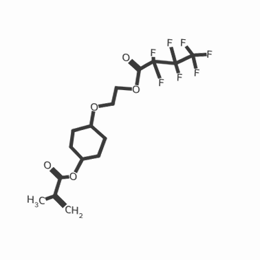 C=C(C)C(=O)OC1CCC(OCCOC(=O)C(F)(F)C(F)(F)C(F)(F)F)CC1